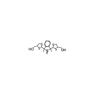 CSC(C)(c1ccccc1C(C)(SC)C1SCC(CO)S1)C1SCC(CO)S1